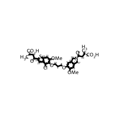 COc1cc2c(cc1OCCCOc1c(OC)cc3sc(C(=O)C[C@H](C)C(=O)O)cc3c1Cl)CN(C(=O)C[C@H](C)C(=O)O)C2